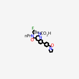 CCCN(CCCF)C(=O)C1=Cc2ccc(-c3ccc(C(=O)N4CCCC4)cc3)cc2N=C(N(C(=O)O)C(C)(C)C)C1